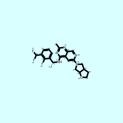 Cc1nc(N[C@H](C)c2cccc(C(F)F)c2F)c2cc(N3CC4CCOC4C3)ncc2n1